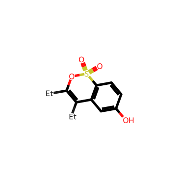 CCC1=C(CC)c2cc(O)ccc2S(=O)(=O)O1